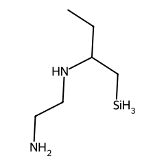 CCC(C[SiH3])NCCN